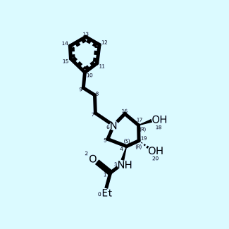 CCC(=O)N[C@H]1CN(CCCc2ccccc2)C[C@@H](O)[C@@H]1O